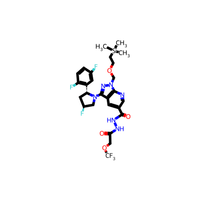 C[Si](C)(C)CCOCn1nc(N2C[C@@H](F)C[C@@H]2c2cc(F)ccc2F)c2cc(C(=O)NNC(=O)COC(F)(F)F)cnc21